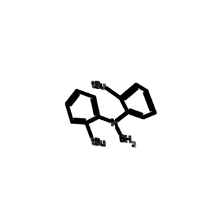 BN(c1ccccc1C(C)(C)C)c1ccccc1C(C)(C)C